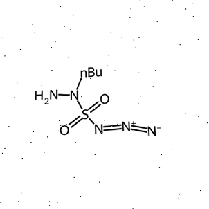 CCCCN(N)S(=O)(=O)N=[N+]=[N-]